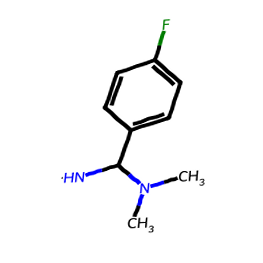 CN(C)C([NH])c1ccc(F)cc1